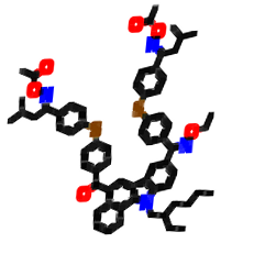 CCCCC(CC)Cn1c2ccc(/C(=N/OCC)c3ccc(Sc4ccc(/C(CC(C)C)=N/OC(C)=O)cc4)cc3)cc2c2cc(C(=O)c3ccc(Sc4ccc(/C(CC(C)C)=N/OC(C)=O)cc4)cc3)c3ccccc3c21